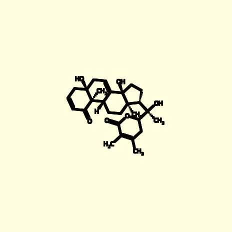 CC1=C(C)C(=O)OC([C@](C)(O)[C@H]2CC[C@@]3(O)C4=CC[C@@]5(O)CC=CC(=O)[C@]5(C)[C@H]4CC[C@]23C)C1